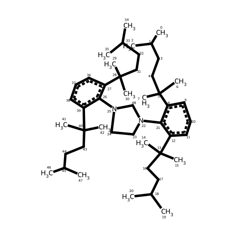 CC(C)CCC(C)(C)c1cccc(C(C)(C)CCC(C)C)c1N1CCN(c2c(C(C)(C)CCC(C)C)cccc2C(C)(C)CCC(C)C)C1